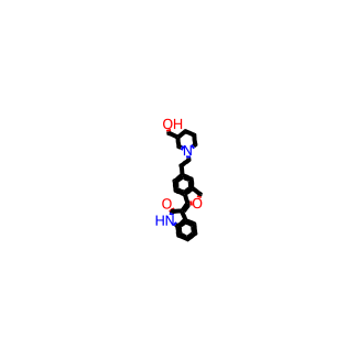 O=C1Nc2ccccc2C1=C1OCc2cc(CCN3CCCC(CO)C3)ccc21